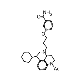 CC(=O)N1CCC(N(CCCOc2cccc(C(N)=O)c2)CC(c2ccccc2)C2CCCCC2)CC1